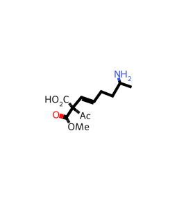 COC(=O)C(/C=C/CCC(C)N)(C(C)=O)C(=O)O